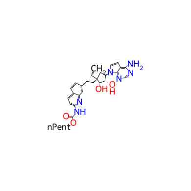 C=C[C@]1(CCc2ccc3ccc(NC(=O)OCCCCC)nc3c2)C[C@@H](n2ccc3c(N)ncnc32)[C@H](O)[C@@H]1O